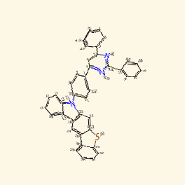 c1ccc(-c2cc(-c3ccc(-n4c5ccccc5c5cc6c(cc54)sc4ccccc46)cc3)nc(-c3ccccc3)n2)cc1